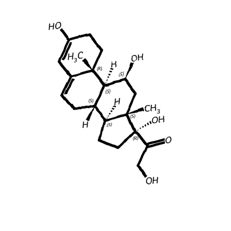 C[C@]12CCC(O)=CC1=CC[C@@H]1[C@@H]2[C@@H](O)C[C@@]2(C)[C@H]1CC[C@]2(O)C(=O)CO